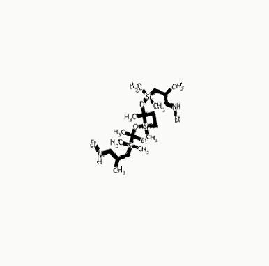 CCNCC(C)C[Si](C)(C)OC1(C)CC[Si]1(C)OC(C)(CC)[Si](C)(C)CC(C)CNCC